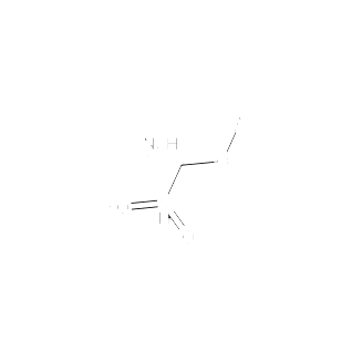 CC(=O)OC[SH](=O)=O.[NaH]